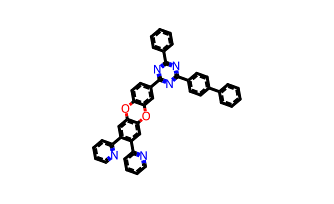 c1ccc(-c2ccc(-c3nc(-c4ccccc4)nc(-c4ccc5c(c4)Oc4cc(-c6ccccn6)c(-c6ccccn6)cc4O5)n3)cc2)cc1